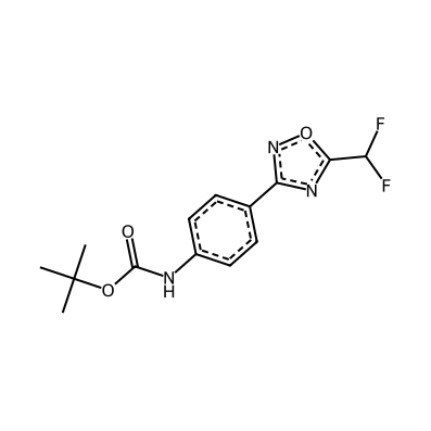 CC(C)(C)OC(=O)Nc1ccc(-c2noc(C(F)F)n2)cc1